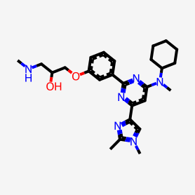 CNCC(O)COc1cccc(-c2nc(-c3cn(C)c(C)n3)cc(N(C)C3CCCCC3)n2)c1